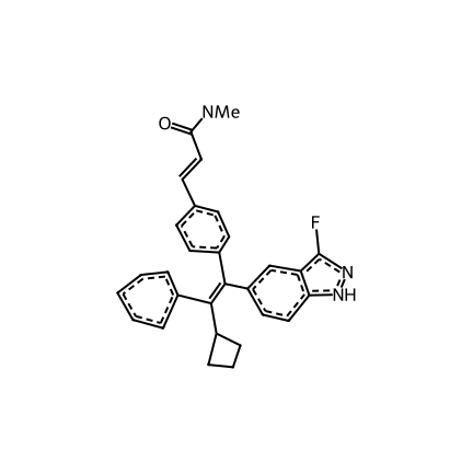 CNC(=O)/C=C/c1ccc(/C(=C(\c2ccccc2)C2CCC2)c2ccc3[nH]nc(F)c3c2)cc1